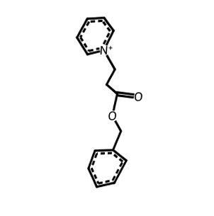 O=C(CC[n+]1ccccc1)OCc1ccccc1